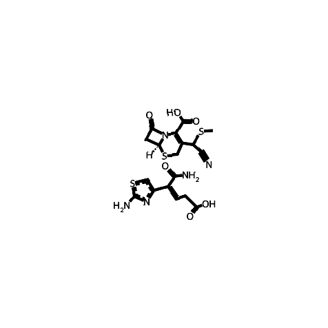 CSC(C#N)C1=C(C(=O)O)N2C(=O)C[C@@H]2SC1.NC(=O)C(=CCC(=O)O)c1csc(N)n1